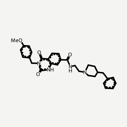 COc1ccc(Cn2c(=O)[nH]c3cc(C(=O)NCCN4CCC(Cc5ccccc5)CC4)ccc3c2=O)cc1